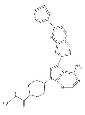 CNC(=O)C1CCC(n2cc(-c3ccc4ccc(-c5ccccc5)nc4c3)c3c(N)ncnc32)CC1